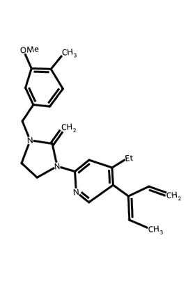 C=C/C(=C\C)c1cnc(N2CCN(Cc3ccc(C)c(OC)c3)C2=C)cc1CC